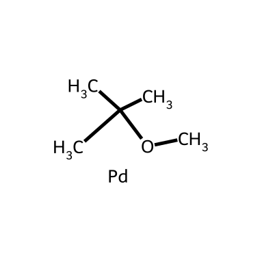 COC(C)(C)C.[Pd]